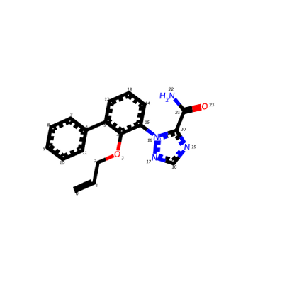 C=CCOc1c(-c2ccccc2)cccc1-n1ncnc1C(N)=O